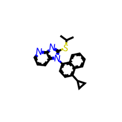 CC(C)Sc1nc2ncccc2n1-c1ccc(C2CC2)c2ccccc12